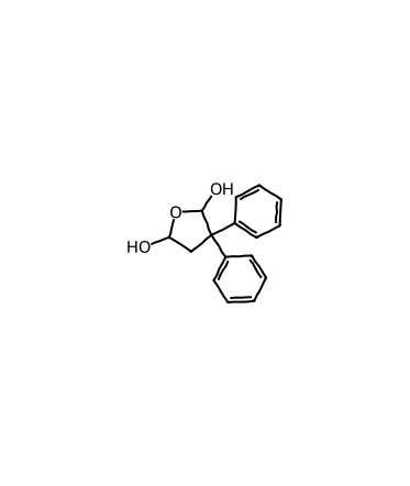 OC1CC(c2ccccc2)(c2ccccc2)C(O)O1